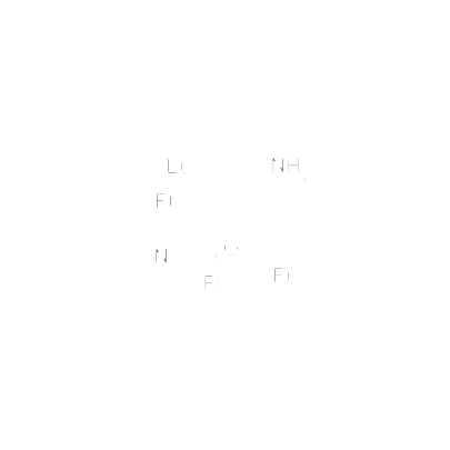 CCNCC.CCOC(N)CC